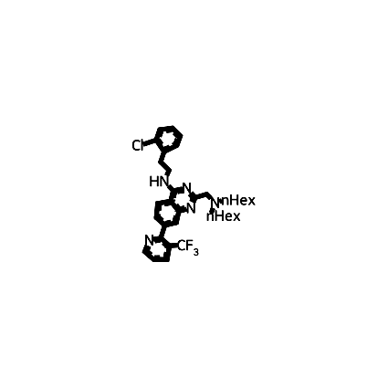 CCCCCCN(CCCCCC)Cc1nc(NCCc2ccccc2Cl)c2ccc(-c3ncccc3C(F)(F)F)cc2n1